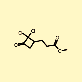 COC(=O)CCC1CC(=O)C1(Cl)Cl